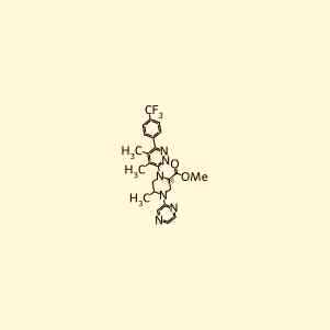 COC(=O)[C@H]1CN(c2cnccn2)C(C)CN1c1nnc(-c2ccc(C(F)(F)F)cc2)c(C)c1C